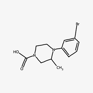 CC1CN(C(=O)O)CCN1c1cccc(Br)c1